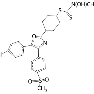 CN(O)C(=S)SC1CCC(c2nc(-c3ccc(S(C)(=O)=O)cc3)c(-c3ccc(Cl)cc3)o2)CC1